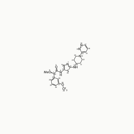 CO[C@@H](C(=O)Nc1nnc(NC2CCN(c3cccnn3)CC2)s1)c1cccc(OC(F)(F)F)c1